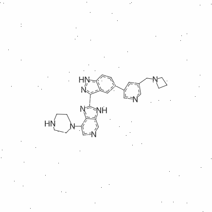 c1ncc(-c2ccc3[nH]nc(-c4nc5c(N6CCNCC6)cncc5[nH]4)c3c2)cc1CN1CCC1